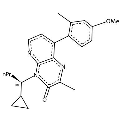 CCC[C@H](C1CC1)n1c(=O)c(C)nc2c(-c3ccc(OC)cc3C)ccnc21